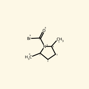 CC1CCC(C)N1C(=O)Br